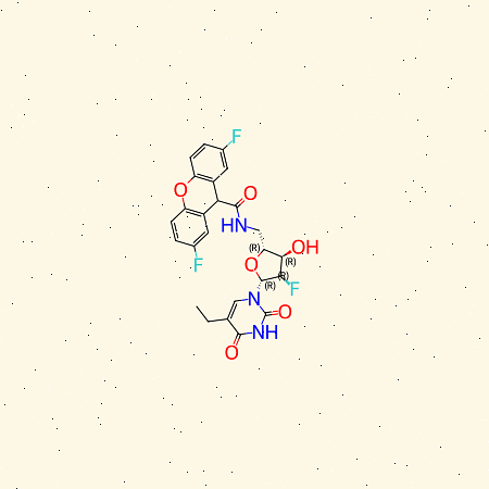 CCc1cn([C@@H]2O[C@H](CNC(=O)C3c4cc(F)ccc4Oc4ccc(F)cc43)[C@@H](O)[C@H]2F)c(=O)[nH]c1=O